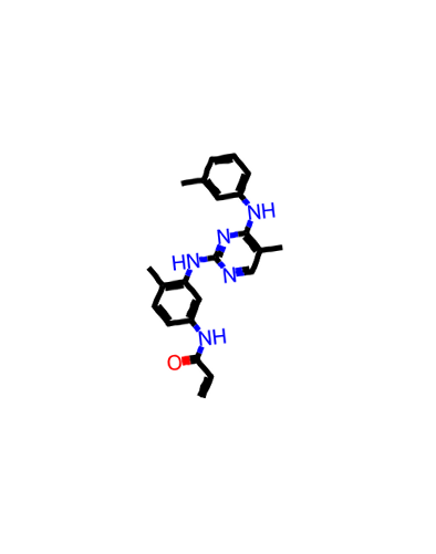 C=CC(=O)Nc1ccc(C)c(Nc2ncc(C)c(Nc3cccc(C)c3)n2)c1